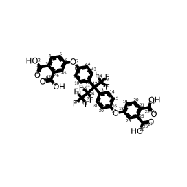 O=C(O)c1ccc(Oc2ccc(C(c3ccc(Oc4ccc(C(=O)O)c(C(=O)O)c4)cc3)(C(F)(F)F)C(F)(F)C(F)(F)F)cc2)cc1C(=O)O